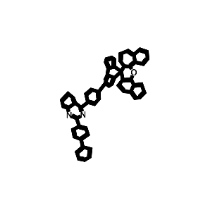 C1=CC2C(=c3ccccc3=C1)Oc1c(ccc3ccccc13)C21c2ccccc2-c2cc(-c3ccc(-c4nc(-c5ccc(-c6ccccc6)cc5)nc5ccccc45)cc3)ccc21